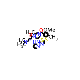 COc1cc(C)c(Sc2cnc(Nc3ccccn3)s2)cc1C(=O)N1CCCN(C(=O)/C=C/CN(C)C)[C@H](C)C1